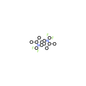 Fc1cc(F)cc(N(c2cc(-c3ccccc3)cc(-c3ccccc3)c2)c2ccc3ccc4c(N(c5cc(F)cc(F)c5)c5cc(-c6ccccc6)cc(-c6ccccc6)c5)ccc5ccc2c3c54)c1